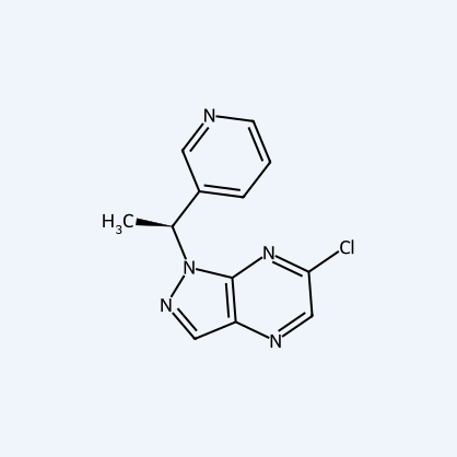 C[C@@H](c1cccnc1)n1ncc2ncc(Cl)nc21